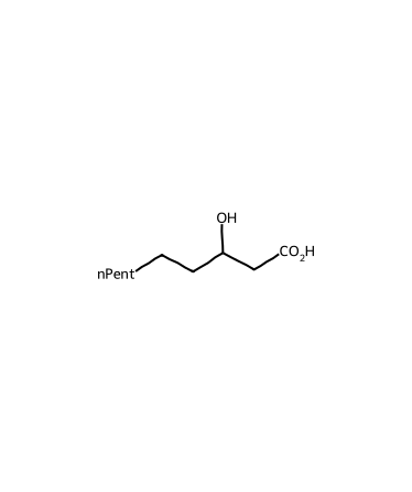 CCCCCCCC(O)CC(=O)O